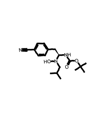 CC(C)CN(O)[C@@H](Cc1ccc(C#N)cc1)NC(=O)OC(C)(C)C